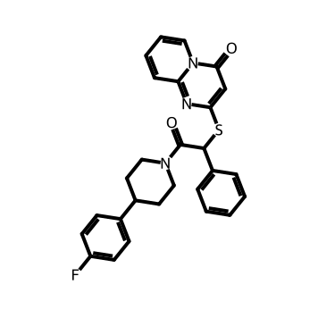 O=C(C(Sc1cc(=O)n2ccccc2n1)c1ccccc1)N1CCC(c2ccc(F)cc2)CC1